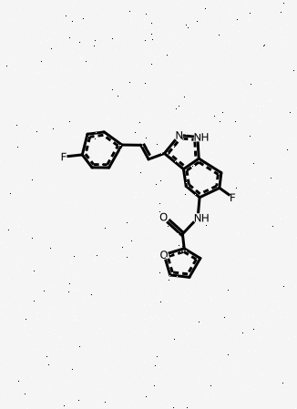 O=C(Nc1cc2c(/C=C/c3ccc(F)cc3)n[nH]c2cc1F)c1ccco1